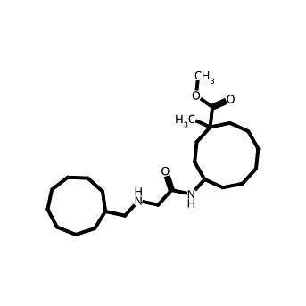 COC(=O)C1(C)CCCCCCC(NC(=O)CNCC2CCCCCCCC2)CC1